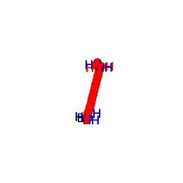 CCCCNC(=O)/C=C(\Br)C(=O)NCCCC(=O)NCCOCCOCCOCCOCCOCCOCCOCCOCCOCCOCCOCCOCCOCCOCCOCCOCCOCCOCCOCCOCCOCCOCCOC[C@@H](O)Nc1cc(C[C@@H](C[C@@H](C)C(=O)OC(C)(C)C)NC(=O)OC(C)(C)C)ccc1O